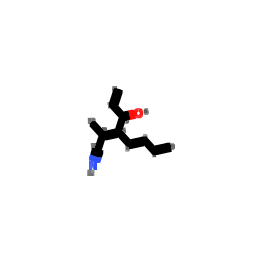 C=CC=CC(C(=O)C=C)=C(C)C#N